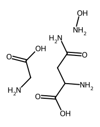 NC(=O)CC(N)C(=O)O.NCC(=O)O.NO